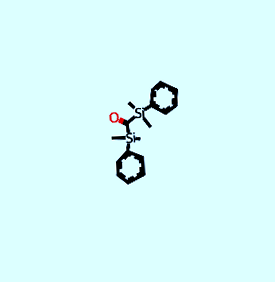 C[Si](C)(C(=O)[Si](C)(C)c1ccccc1)c1ccccc1